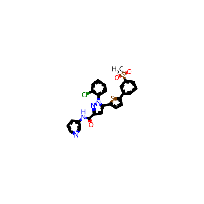 CS(=O)(=O)c1cccc(-c2ccc(-c3cc(C(=O)Nc4cccnc4)nn3-c3ccccc3Cl)s2)c1